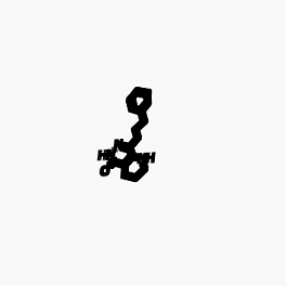 O=c1[nH]nc(CCCc2ccccc2)c2c1CCCN2